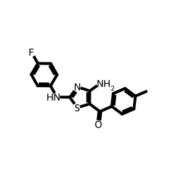 Cc1ccc(C(=O)c2sc(Nc3ccc(F)cc3)nc2N)cc1